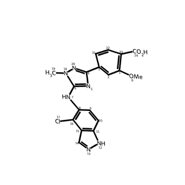 COc1cc(-c2nc(Nc3ccc4[nH]ncc4c3Cl)n(C)n2)ccc1C(=O)O